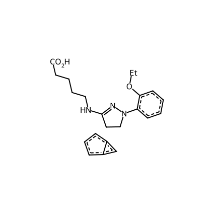 CCOc1ccccc1N1CCC(NCCCCC(=O)O)=N1.c1cc2cc-2c1